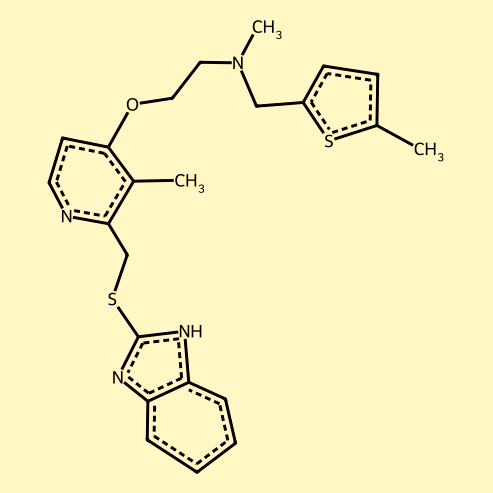 Cc1ccc(CN(C)CCOc2ccnc(CSc3nc4ccccc4[nH]3)c2C)s1